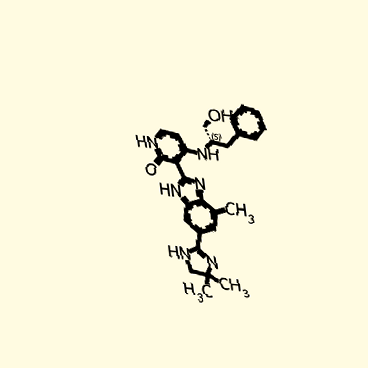 Cc1cc(C2=NC(C)(C)CN2)cc2[nH]c(-c3c(N[C@H](CO)Cc4ccccc4)cc[nH]c3=O)nc12